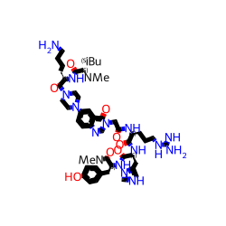 CC[C@H](C)[C@H](NC)C(=O)N[C@@H](CCCCN)C(=O)N1CCN(c2ccc3ncn(CC(=O)N[C@@H](CCCNC(=N)N)C(=O)N[C@@H](Cc4c[nH]cn4)C(=O)N[C@@H](Cc4ccc(O)cc4)C(=O)NC)c(=O)c3c2)CC1